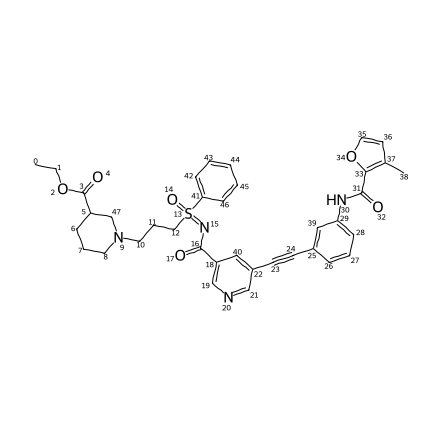 CCOC(=O)C1CCCN(CCCS(=O)(=NC(=O)c2cncc(C#Cc3cccc(NC(=O)c4occc4C)c3)c2)c2ccccc2)C1